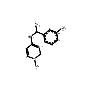 CCCN1C=CC(NC(C)c2cccc(C(F)(F)F)c2)=NC1